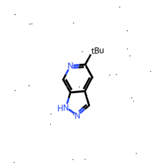 CC(C)(C)c1cc2cn[nH]c2cn1